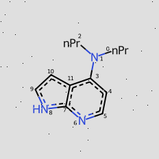 CCCN(CCC)c1ccnc2[nH]ccc12